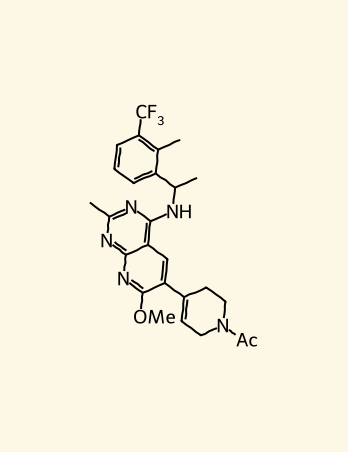 COc1nc2nc(C)nc(NC(C)c3cccc(C(F)(F)F)c3C)c2cc1C1=CCN(C(C)=O)CC1